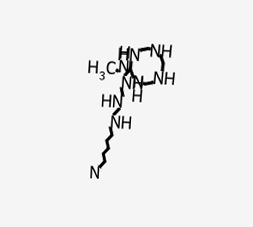 CCNC1(CNCCNCCNCCCCCCC#N)CNCCNCCCNCCNC1